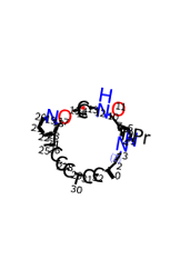 C=C1/C=C\n2ncc(c2CCC)C(=O)NC2CC(C2)Oc2ncccc2C(C)CCCC(C)CC1